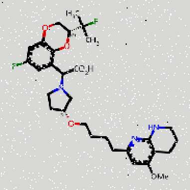 COc1cc(CCCCO[C@@H]2CCN(C(C(=O)O)c3cc(F)cc4c3O[C@@H](C(C)(C)F)CO4)C2)nc2c1CCCN2